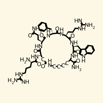 N=C(N)NCCC[C@@H]1NC(=O)[C@@H](Cc2ccccc2)NC(=O)[C@H](CCC(N)=O)NC(=O)[C@@H](NC(=O)[C@@H](N)CCCNC(=N)N)CC(=O)NCCCCC(C(N)=O)NC(=O)[C@H](Cc2c[nH]c3ccccc23)NC1=O